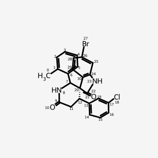 Cc1ccccc1C1NC(=O)CC(c2cccc(Cl)c2)[C@]12C(=O)Nc1cc(Br)ccc12